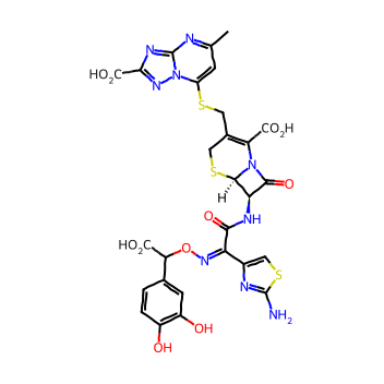 Cc1cc(SCC2=C(C(=O)O)N3C(=O)[C@@H](NC(=O)/C(=N\OC(C(=O)O)c4ccc(O)c(O)c4)c4csc(N)n4)[C@H]3SC2)n2nc(C(=O)O)nc2n1